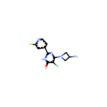 NC1CN(c2nc(-c3ccnc(F)c3)[nH]c(=O)c2Cl)C1